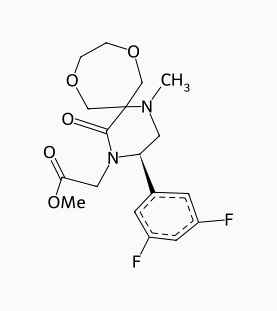 COC(=O)CN1C(=O)C2(COCCOC2)N(C)C[C@H]1c1cc(F)cc(F)c1